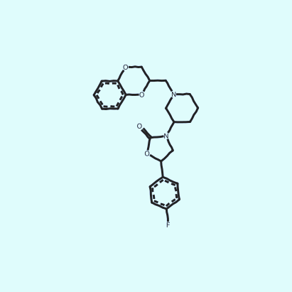 O=C1OC(c2ccc(F)cc2)CN1C1CCCN(CC2COc3ccccc3O2)C1